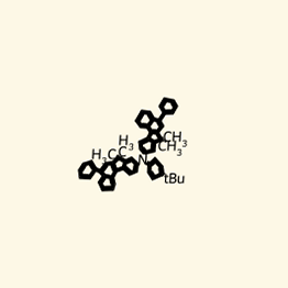 CC(C)(C)c1ccc(N(c2ccc3c(c2)C(C)(C)c2cc(-c4ccccc4)c4ccccc4c2-3)c2ccc3c(c2)C(C)(C)c2cc(-c4ccccc4)c4ccccc4c2-3)cc1